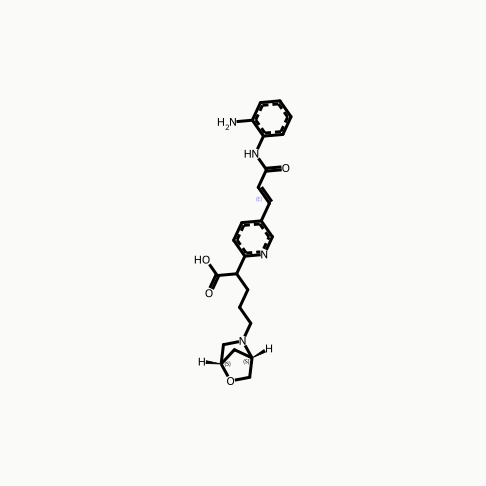 Nc1ccccc1NC(=O)/C=C/c1ccc(C(CCCN2C[C@@H]3C[C@H]2CO3)C(=O)O)nc1